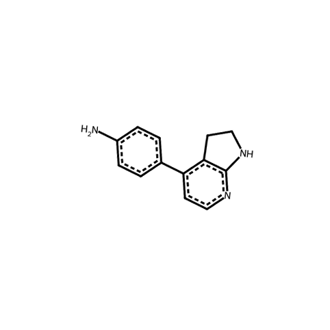 Nc1ccc(-c2ccnc3c2CCN3)cc1